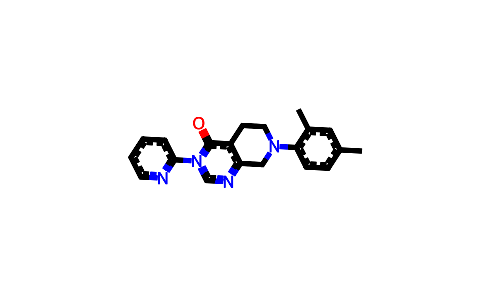 Cc1ccc(N2CCc3c(ncn(-c4ccccn4)c3=O)C2)c(C)c1